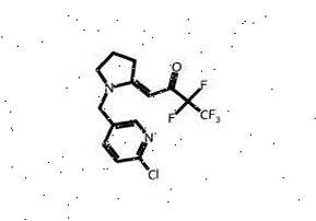 O=C(C=C1CCCN1Cc1ccc(Cl)nc1)C(F)(F)C(F)(F)F